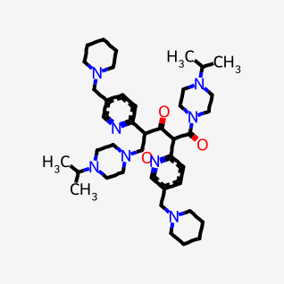 CC(C)N1CCN(C(=O)C(C(=O)C(C(=O)N2CCN(C(C)C)CC2)c2ccc(CN3CCCCC3)cn2)c2ccc(CN3CCCCC3)cn2)CC1